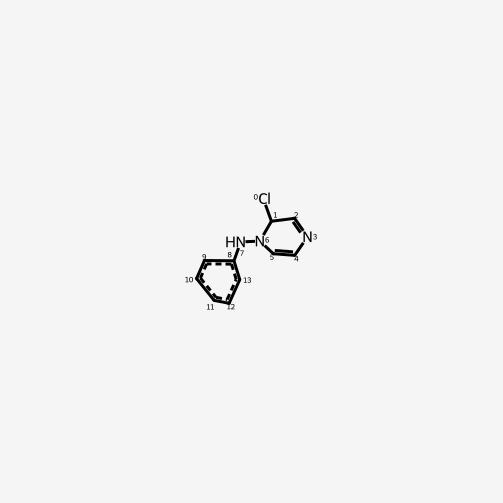 ClC1C=NC=CN1Nc1ccccc1